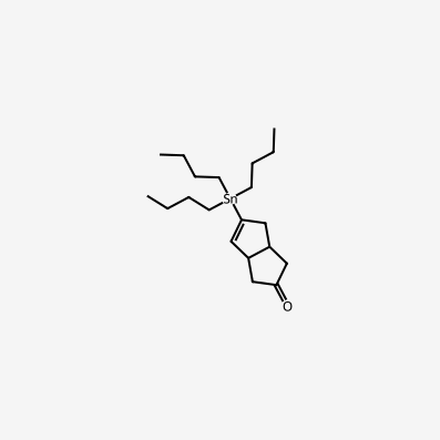 CCC[CH2][Sn]([CH2]CCC)([CH2]CCC)[C]1=CC2CC(=O)CC2C1